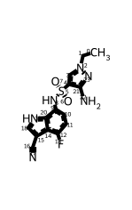 CCn1cc(S(=O)(=O)Nc2ccc(F)c3c(C#N)c[nH]c23)c(N)n1